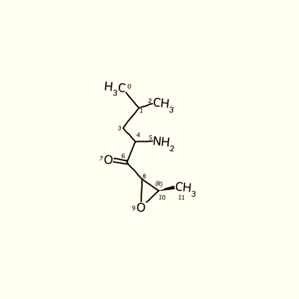 CC(C)CC(N)C(=O)C1O[C@@H]1C